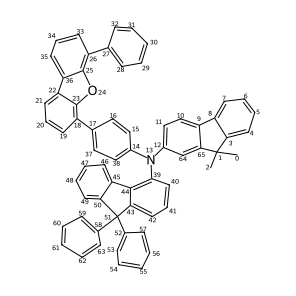 CC1(C)c2ccccc2-c2ccc(N(c3ccc(-c4cccc5c4oc4c(-c6ccccc6)cccc45)cc3)c3cccc4c3-c3ccccc3C4(c3ccccc3)c3ccccc3)cc21